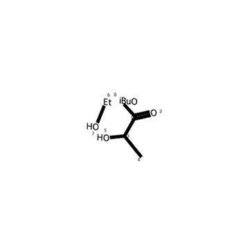 CC(C)COC(=O)C(C)O.CCO